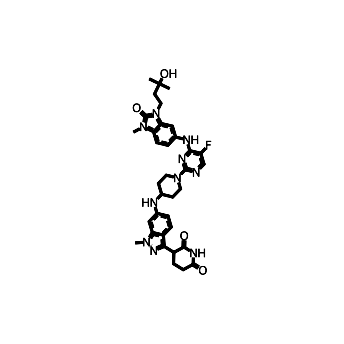 Cn1nc(C2CCC(=O)NC2=O)c2ccc(NC3CCN(c4ncc(F)c(Nc5ccc6c(c5)n(CCC(C)(C)O)c(=O)n6C)n4)CC3)cc21